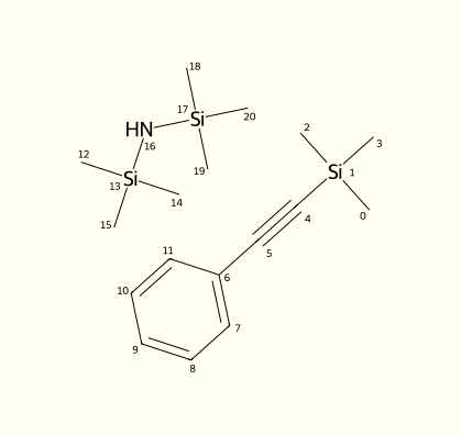 C[Si](C)(C)C#Cc1ccccc1.C[Si](C)(C)N[Si](C)(C)C